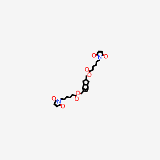 O=C(CCCCCN1C(=O)C=CC1=O)OCC1CC2C3CC(COC(=O)CCCCCN4C(=O)C=CC4=O)C(C3)C2C1